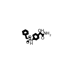 NC(=O)C(O)c1ccc(NS(=O)(=O)Cc2ccccc2)cc1